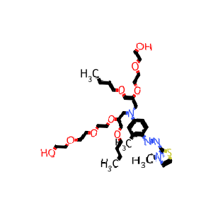 CCCCOCC(CN(CC(COCCCC)OCCOCCOCCO)c1ccc(/N=N/c2scc[n+]2C)c(C)c1)OCCOCCO